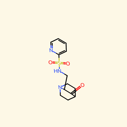 O=C1C2CCN(CC2)C1CNS(=O)(=O)c1ccccn1